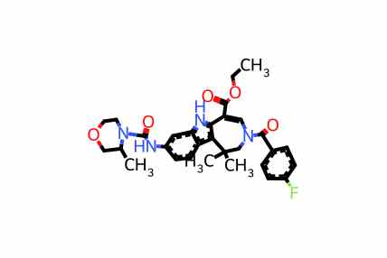 CCOC(=O)C1=CN(C(=O)c2ccc(F)cc2)CC(C)(C)c2c1[nH]c1cc(NC(=O)N3CCOCC3C)ccc21